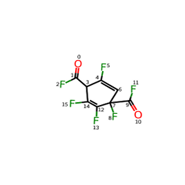 O=C(F)C1C(F)=CC(F)(C(=O)F)C(F)=C1F